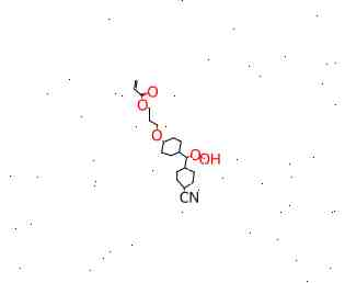 C=CC(=O)OCCCOC1CCC(C(OO)C2CCC(C#N)CC2)CC1